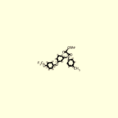 COC(=O)C(=O)N(c1ccc(C)cc1)c1cccc(Oc2ccc(OC(F)(F)F)cc2)c1